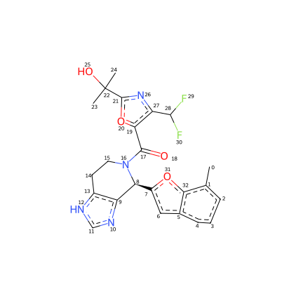 Cc1cccc2cc([C@H]3c4nc[nH]c4CCN3C(=O)c3oc(C(C)(C)O)nc3C(F)F)oc12